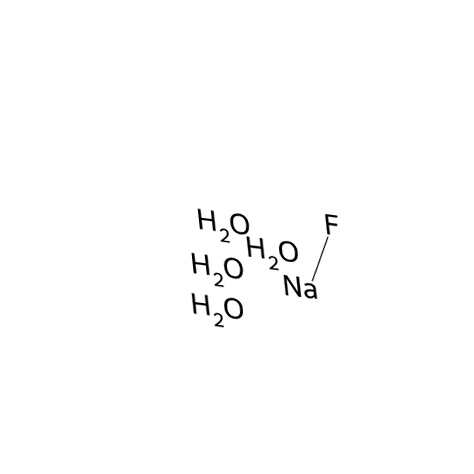 O.O.O.O.[F][Na]